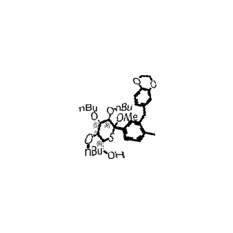 CCCCO[C@H]1[C@H](OCCCC)[C@@H](CO)SC(OC)(c2ccc(C)c(Cc3ccc4c(c3)OCCO4)c2)[C@@H]1OCCCC